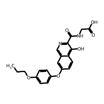 CCCOc1ccc(Oc2ccc3c(O)c(C(=O)NCC(=O)O)ncc3c2)cc1